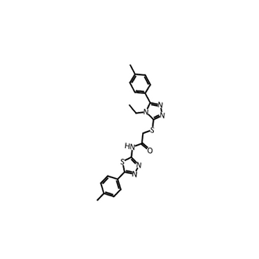 CCn1c(SCC(=O)Nc2nnc(-c3ccc(C)cc3)s2)nnc1-c1ccc(C)cc1